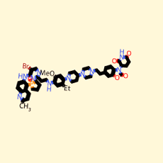 CCc1cc(NCCc2ncc(Br)c(Nc3ccc4nc(C)ccc4c3P3(=O)CCCC3)n2)c(OC)cc1N1CCC(N2CCN(CCc3ccc4c(c3)oc(=O)n4C3CCC(=O)NC3=O)CC2)CC1